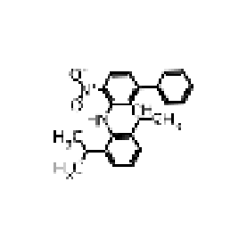 CC(C)c1cccc(C(C)C)c1Nc1cc(-c2ccccc2)ccc1[N+](=O)[O-]